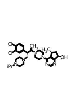 C=C([C@H](CN1CCN(C(C)C)CC1)c1ccc(Cl)c(Cl)c1)N1CCN(c2ncnc3c2[C@H](C)C[C@H]3O)CC1